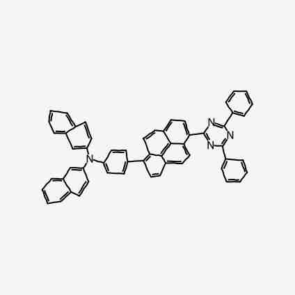 c1ccc(-c2nc(-c3ccccc3)nc(-c3ccc4ccc5c(-c6ccc(N(c7ccc8ccccc8c7)c7ccc8ccccc8c7)cc6)ccc6ccc3c4c65)n2)cc1